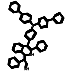 N=C/C(=C1\NC(c2ccccc2)=C(c2ccc(N(c3ccc(-c4ccccc4)cc3)c3ccc(-c4ccccc4)cc3)cc2)c2ccccc21)c1ccccc1